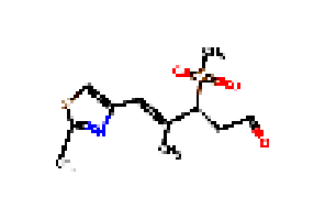 C/C(=C\c1csc(C)n1)[C@H](CC=O)S(C)(=O)=O